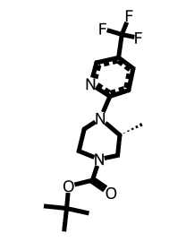 C[C@@H]1CN(C(=O)OC(C)(C)C)CCN1c1ccc(C(F)(F)F)cn1